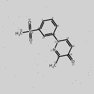 Cc1nn(-c2cccc(S(C)(=O)=O)c2)ccc1=O